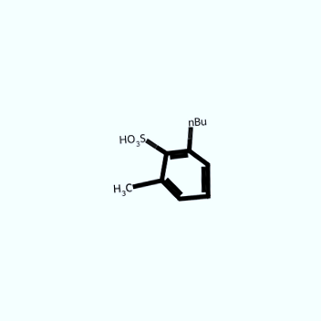 CCCCc1cccc(C)c1S(=O)(=O)O